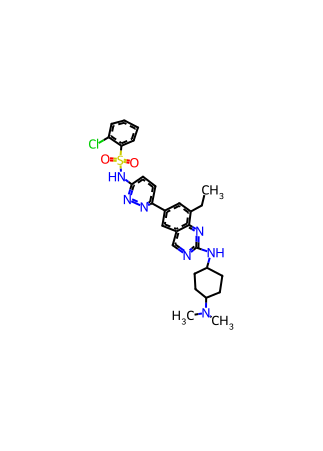 CCc1cc(-c2ccc(NS(=O)(=O)c3ccccc3Cl)nn2)cc2cnc(NC3CCC(N(C)C)CC3)nc12